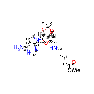 COC(=O)CCCCNC[C@H]1O[C@@H](n2ccc3c(N)ncnc32)[C@@H]2OC(C)(C)O[C@@H]21